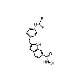 O=C(NO)c1ccc2cc(Cc3ccc(OC(F)F)cc3)[nH]c2c1